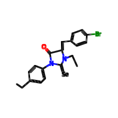 CCc1ccc(N2C(=O)C(=Cc3ccc(Br)cc3)N(CC)C2=[Se])cc1